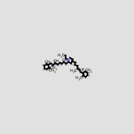 CCC[N+]1=CC=C(/C=C/C=C(C)/C=C/C2=C(C)CCCC2(C)C)CC1/C=C(C)/C=C/C=C(C)/C=C/C1=C(C)CCCC1(C)C